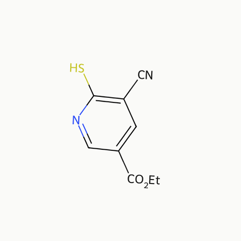 CCOC(=O)c1cnc(S)c(C#N)c1